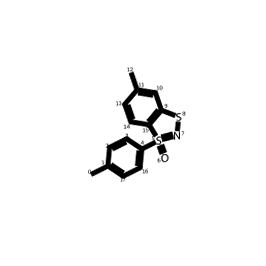 Cc1ccc(S2(=O)=NSc3cc(C)ccc32)cc1